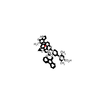 C[C@@H]1CN(C2CCN(c3nc(C(CNC(=O)OCC4c5ccccc5-c5ccccc54)(OC4CC4)c4ccc(F)cc4)c4cc(-c5cn(C)c(=O)c6[nH]ccc56)ccc4n3)CC2)[C@@H](C)CN1C(=O)O